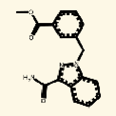 COC(=O)c1cccc(Cn2nc(C(N)=O)c3ccccc32)c1